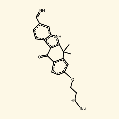 CCC(C)NCCOc1ccc2c(c1)C(C)(C)c1[nH]c3cc(C=N)ccc3c1C2=O